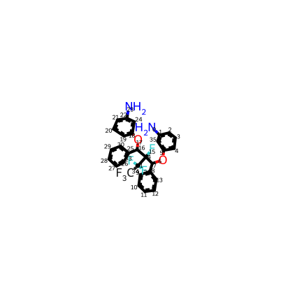 Nc1cccc(OC(c2ccccc2)C(F)(C(Oc2cccc(N)c2)c2ccccc2)C(F)(F)C(F)(F)F)c1